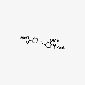 CCCCCOc1ccc(CCc2ccc(C(=O)OC)cc2)cc1OC